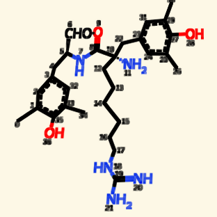 Cc1cc(C[C@@H]([C]=O)NC(=O)[C@](N)(CCCCCCNC(=N)N)Cc2cc(C)c(O)c(C)c2)cc(C)c1O